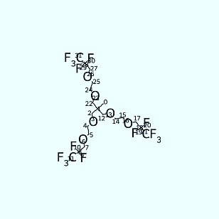 CC(COCCOCC(F)(F)C(F)(F)F)(COCCOCC(F)(F)C(F)(F)F)COCCOCC(F)(F)C(F)(F)F